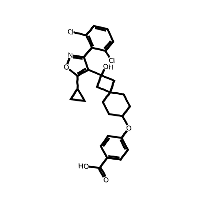 O=C(O)c1ccc(OC2CCC3(CC2)CC(O)(c2c(-c4c(Cl)cccc4Cl)noc2C2CC2)C3)cc1